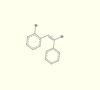 Br/C(=C/c1ccccc1Br)c1ccccc1